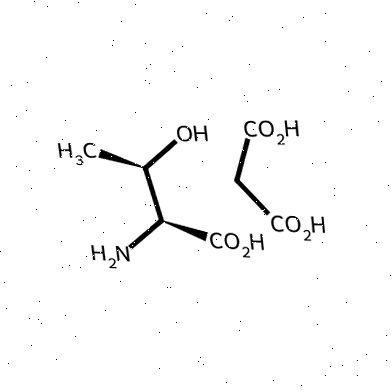 C[C@@H](O)[C@H](N)C(=O)O.O=C(O)CC(=O)O